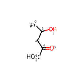 CC(C)C(O)CC(=O)C(=O)O